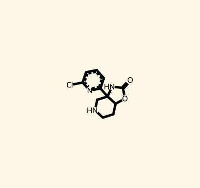 O=C1NC2(c3cccc(Cl)n3)CNCCC2O1